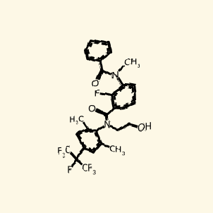 Cc1cc(C(F)(C(F)(F)F)C(F)(F)F)cc(C)c1N(CCO)C(=O)c1cccc(N(C)C(=O)c2ccccc2)c1F